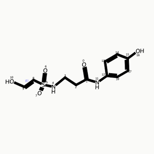 O=C(CCNS(=O)(=O)/C=C/O)Nc1ccc(O)cc1